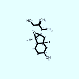 C=C(CO)C(C)[C@]12C[C@@H]3C[C@@H](O)CCC3[C@H]1O2